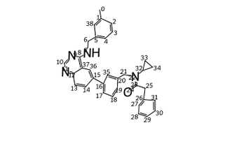 Cc1cccc(CNc2ncnc3ccc(-c4cccc(CN(C(=O)Cc5ccccc5)C5CC5)c4)cc23)c1